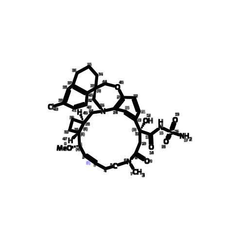 CO[C@H]1/C=C/CCN(C)C(=O)C[C@](O)(C(=O)NS(N)(=O)=O)c2ccc3c(c2)N(C[C@@H]2CC[C@H]21)C[C@@]1(CCCc2cc(Cl)ccc21)CO3